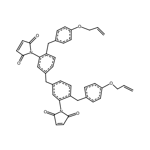 C=CCOc1ccc(Cc2ccc(Cc3ccc(Cc4ccc(OCC=C)cc4)c(N4C(=O)C=CC4=O)c3)cc2N2C(=O)C=CC2=O)cc1